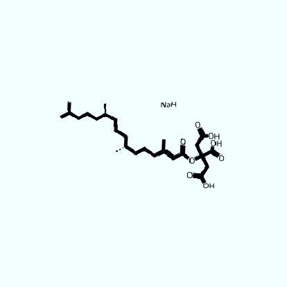 C/C(=C\C(=O)OC(CC(=O)O)(CC(=O)O)C(=O)O)CCC[C@H](C)CCC[C@H](C)CCCC(C)C.[NaH]